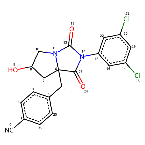 N#Cc1ccc(CC23CC(O)CN2C(=O)N(c2cc(Cl)cc(Cl)c2)C3=O)cc1